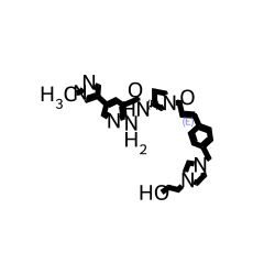 Cn1cc(-c2cnc(N)c(C(=O)N[C@@H]3CCN(C(=O)/C=C/c4ccc(CN5CCN(CCO)CC5)cc4)C3)c2)cn1